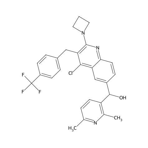 Cc1ccc(C(O)c2ccc3nc(N4CCC4)c(Cc4ccc(C(F)(F)F)cc4)c(Cl)c3c2)c(C)n1